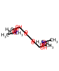 CCCCCCCC(=O)O[N+](C)(C)CC(=O)OC(CCCCC)C(O)C/C=C\CCCCCCCC(=O)OCCCCCCCCCCOC(=O)CCCCCCC/C=C\CC(O)C(CCCCC)OC(=O)C[N+](C)(C)OC(=O)CCCCCCC